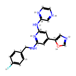 Fc1ccc(CNc2cc(-c3cnco3)cc(Nc3cnccn3)n2)cc1